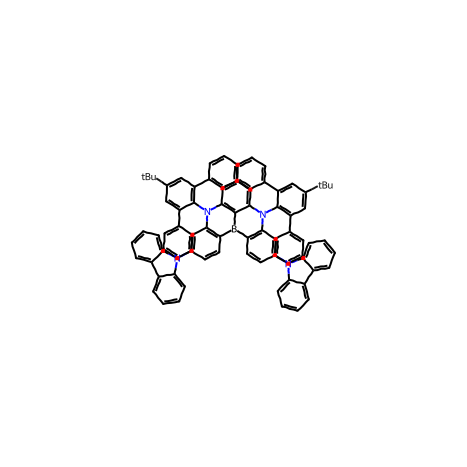 CC(C)(C)c1cc(-c2ccccc2)c(N2c3cc(-n4c5ccccc5c5ccccc54)ccc3B3c4ccc(-n5c6ccccc6c6ccccc65)cc4N(c4c(-c5ccccc5)cc(C(C)(C)C)cc4-c4ccccc4)c4cccc2c43)c(-c2ccccc2)c1